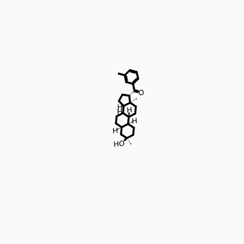 Cc1cccc(C(=O)[C@H]2CC[C@H]3[C@@H]4CC[C@@H]5C[C@](C)(O)CC[C@@H]5[C@H]4CC[C@]23C)c1